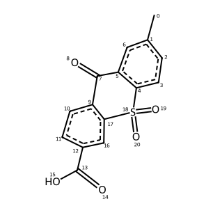 Cc1ccc2c(c1)C(=O)c1ccc(C(=O)O)cc1S2(=O)=O